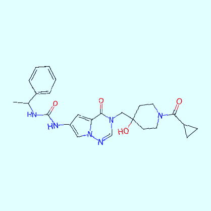 CC(NC(=O)Nc1cc2c(=O)n(CC3(O)CCN(C(=O)C4CC4)CC3)cnn2c1)c1ccccc1